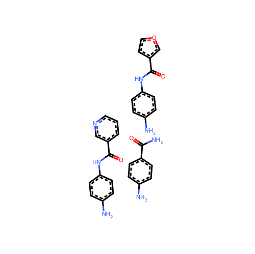 NC(=O)c1ccc(N)cc1.Nc1ccc(NC(=O)c2cccnc2)cc1.Nc1ccc(NC(=O)c2ccoc2)cc1